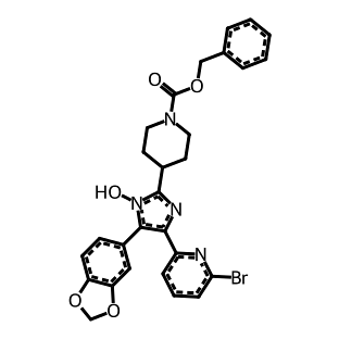 O=C(OCc1ccccc1)N1CCC(c2nc(-c3cccc(Br)n3)c(-c3ccc4c(c3)OCO4)n2O)CC1